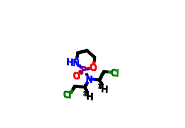 [3H]C(CCl)N(C([3H])CCl)P1(=O)NCCCO1